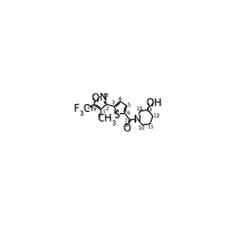 Cc1c(-c2ccc(C(=O)N3CCCC(O)C3)s2)noc1C(F)(F)F